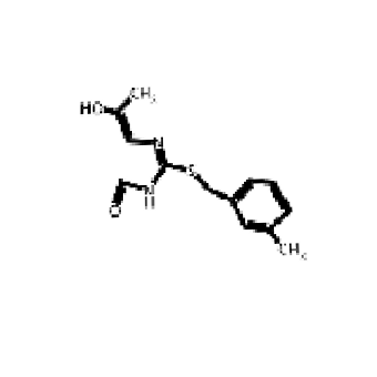 C/C(O)=C\N=C(/NC=O)SCc1cccc(C)c1